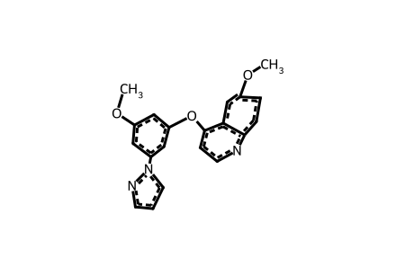 COc1cc(Oc2ccnc3ccc(OC)cc23)cc(-n2cccn2)c1